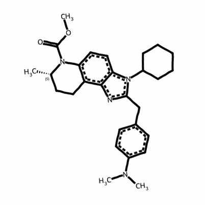 COC(=O)N1c2ccc3c(nc(Cc4ccc(N(C)C)cc4)n3C3CCCCC3)c2CC[C@@H]1C